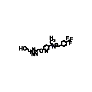 C/C(=N\OCc1ccc(C(F)(F)F)cc1)c1ccc(OCc2nnn(CCO)n2)nc1